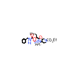 CCOC(=O)N1CCC(C#N)(NC(=O)C(CC(C)C)OC(=O)NCc2ccccc2)CC1